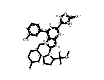 COC(C)(C)C1CCCN1c1nc2nc(-c3noc(=O)[nH]3)nc(-c3cccc(Cl)c3)c2n1CC1CCC(C)CC1